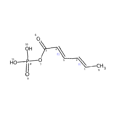 C/C=C/C=C/C(=O)OP(=O)(O)O